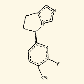 N#Cc1ccc([C@H]2CCc3cncn32)cc1F